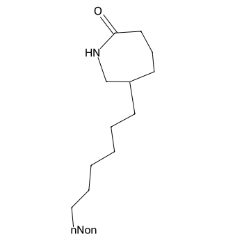 CCCCCCCCCCCCCCCC1CCCC(=O)NC1